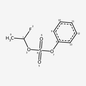 CC(F)OS(=O)(=O)Oc1ccccc1